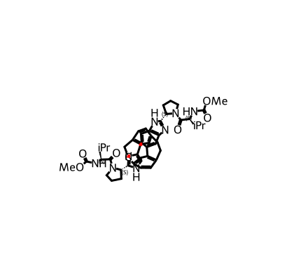 COC(=O)N[C@H](C(=O)N1CCC[C@H]1c1nc(-c2cc3ccc2CCc2ccc(c(-c4ccc5[nH]c([C@@H]6CCCN6C(=O)[C@@H](NC(=O)OC)C(C)C)nc5c4)c2)CC3)c[nH]1)C(C)C